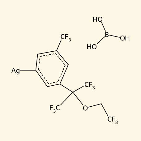 FC(F)(F)COC(c1c[c]([Ag])cc(C(F)(F)F)c1)(C(F)(F)F)C(F)(F)F.OB(O)O